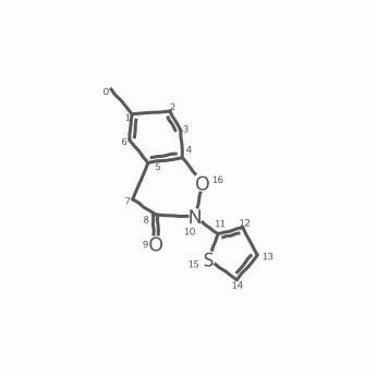 Cc1ccc2c(c1)CC(=O)N(c1cccs1)O2